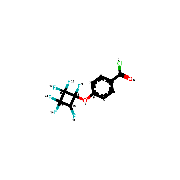 O=C(Cl)c1ccc(OC2(F)C(F)C(F)(F)C2(F)F)cc1